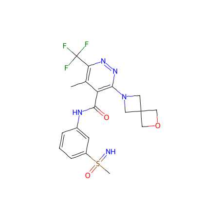 Cc1c(C(F)(F)F)nnc(N2CC3(COC3)C2)c1C(=O)Nc1cccc(S(C)(=N)=O)c1